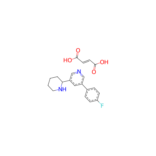 Fc1ccc(-c2cncc(C3CCCCN3)c2)cc1.O=C(O)C=CC(=O)O